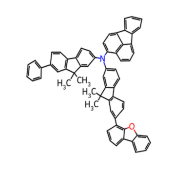 CC1(C)c2cc(-c3ccccc3)ccc2-c2ccc(N(c3ccc4c(c3)C(C)(C)c3cc(-c5cccc6c5oc5ccccc56)ccc3-4)c3ccc4c5c(cccc35)-c3ccccc3-4)cc21